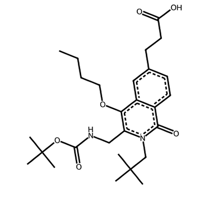 CCCCOc1c(CNC(=O)OC(C)(C)C)n(CC(C)(C)C)c(=O)c2ccc(CCC(=O)O)cc12